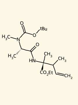 C=CC(C)[C@@](C)(NC(=O)[C@H](C)N(C)C(=O)OC(C)(C)C)C(=O)OCC